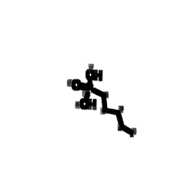 [CH2]CCCCP(=O)(O)O